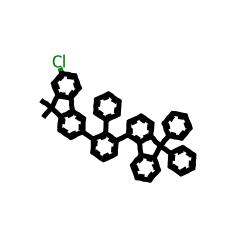 CC1(C)c2ccc(-c3cccc(-c4cccc5c4-c4ccccc4C5(c4ccccc4)c4ccccc4)c3-c3ccccc3)cc2-c2ccc(Cl)cc21